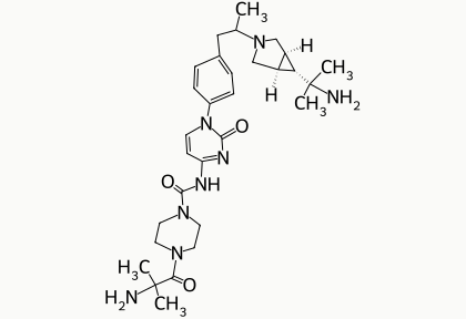 CC(Cc1ccc(-n2ccc(NC(=O)N3CCN(C(=O)C(C)(C)N)CC3)nc2=O)cc1)N1C[C@@H]2[C@H](C1)[C@H]2C(C)(C)N